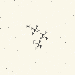 F[B-](F)(F)F.F[B-](F)(F)F.F[B-](F)(F)F.I